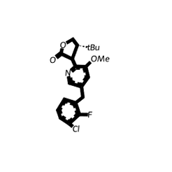 COc1cc(Cc2cccc(Cl)c2F)cnc1C1C(=O)OC[C@@H]1C(C)(C)C